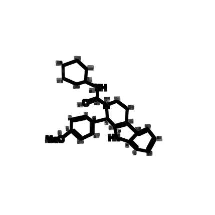 COc1ccc(C2c3[nH]c4ccccc4c3CCN2C(=O)NC2CCCCC2)cc1